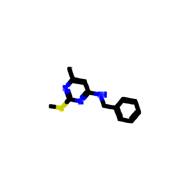 [CH2]c1cc(NCc2ccccc2)nc(SC)n1